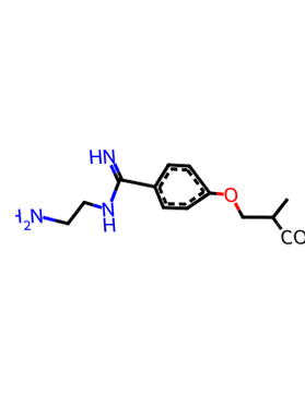 CC(COc1ccc(C(=N)NCCN)cc1)C(=O)O